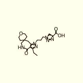 CCc1nn(CCCn2cc(C(=O)O)nn2)c2c1C(=O)NCC1(CCOCC1)C2